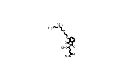 CNC(=O)CCC(C=O)N1C(=O)c2cccc(OCCOCCN(C)CCN)c2C1=O